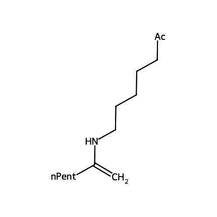 C=C(CCCCC)NCCCCCC(C)=O